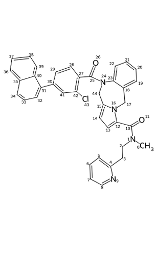 CN(CCc1ccccn1)C(=O)c1ccc2n1Cc1ccccc1N(C(=O)c1ccc(-c3cccc4ccccc34)cc1Cl)C2